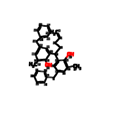 C=CCCC(c1cc(Cc2ccccc2)cc(C)c1O)c1cc(Cc2ccccc2)cc(C)c1O